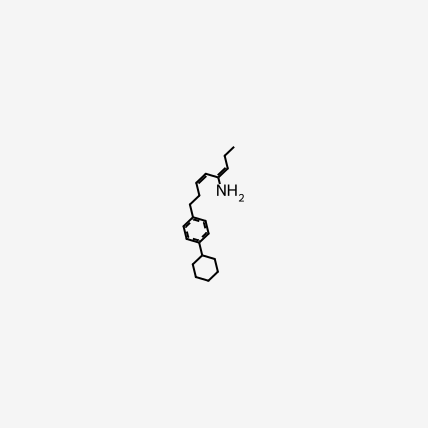 CC/C=C(N)\C=C/CCc1ccc(C2CCCCC2)cc1